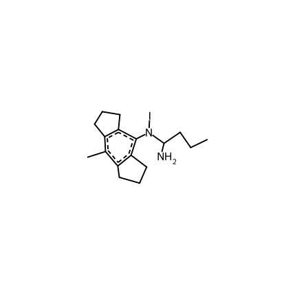 CCCC(N)N(I)c1c2c(c(C)c3c1CCC3)CCC2